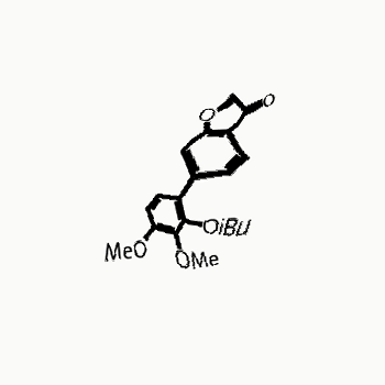 COc1ccc(-c2ccc3c(c2)OCC3=O)c(OCC(C)C)c1OC